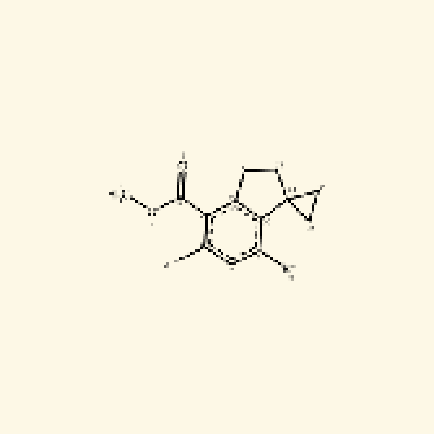 COC(=O)c1c(F)cc(Br)c2c1CCC21CC1